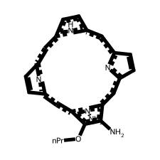 CCCOc1c(N)c2cc3nc(cc4ccc(cc5nc(cc1n2N)C=C5)[nH]4)C=C3